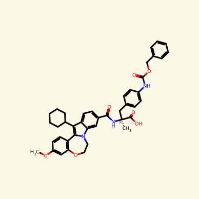 COc1ccc2c(c1)OCCn1c-2c(C2CCCCC2)c2ccc(C(=O)N[C@@](C)(Cc3ccc(NC(=O)OCc4ccccc4)cc3)C(=O)O)cc21